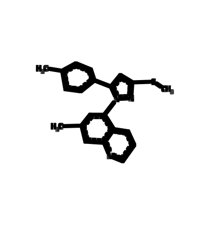 CSc1cc(-c2ccc(C)cc2)n(-c2cc(C)cc3ncccc23)n1